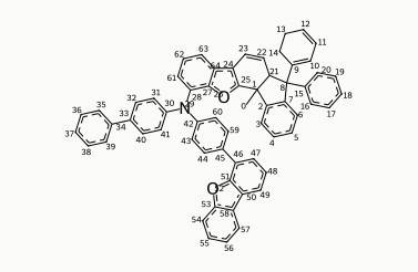 CC12c3ccccc3C(C3=CC=CCC3)(c3ccccc3)C1C=Cc1c2oc2c(N(c3ccc(-c4ccccc4)cc3)c3ccc(-c4cccc5c4oc4ccccc45)cc3)cccc12